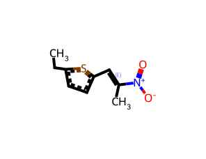 CCc1ccc(/C=C(\C)[N+](=O)[O-])s1